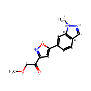 COCC(=O)c1cc(-c2ccc3cnn(C)c3c2)on1